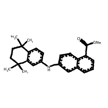 COC(=O)c1cccc2cc(Nc3ccc4c(c3)C(C)(C)CCC4(C)C)ccc12